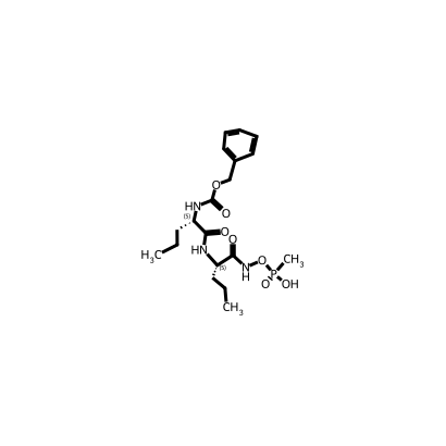 CCC[C@H](NC(=O)OCc1ccccc1)C(=O)N[C@@H](CCC)C(=O)NOP(C)(=O)O